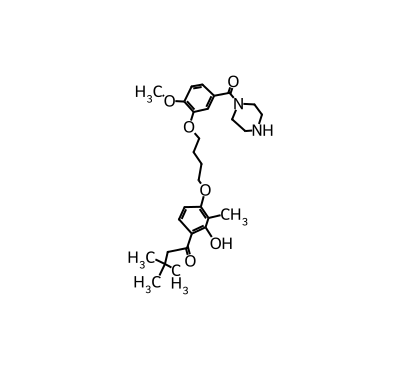 COc1ccc(C(=O)N2CCNCC2)cc1OCCCCOc1ccc(C(=O)CC(C)(C)C)c(O)c1C